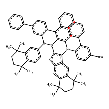 CC(C)(C)c1ccc(N2c3cc4ccccc4c4c3B(c3sc5cc6c(cc5c32)C(C)(C)CCC6(C)C)N(c2ccc3c(c2)C(C)(C)CCC3(C)C)c2cc(-c3ccccc3)ccc2-4)c(-c2ccccc2)c1